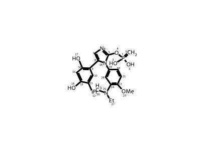 C=P(O)(O)Oc1ncc(-c2cc(C(C)C)c(O)cc2O)n1-c1ccc(OC)c(N(C)CC)c1